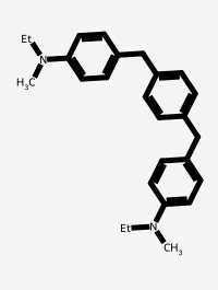 CCN(C)c1ccc(Cc2ccc(Cc3ccc(N(C)CC)cc3)cc2)cc1